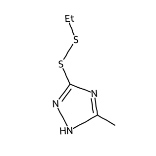 CCSSc1n[nH]c(C)n1